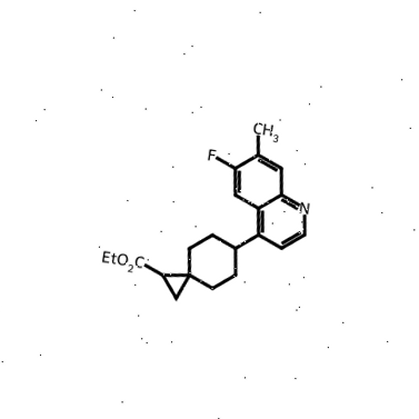 CCOC(=O)C1CC12CCC(c1ccnc3cc(C)c(F)cc13)CC2